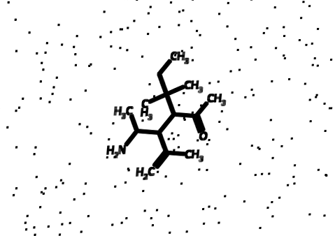 C=C(C)C(C(C)N)C(C(C)=O)C(C)(C)CC